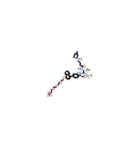 CCCOCCOCCOCCOCCOc1ccc(-c2ccc([C@H](CC(=O)O)NC(=O)[C@@H](NC(=O)CCCNc3cc(C)ccn3)[C@@H](C)CC)cc2)c2ccccc12